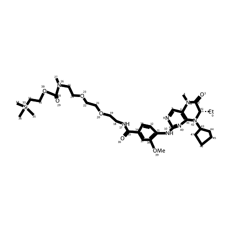 CC[C@H]1C(=O)N(C)c2cnc(Nc3ccc(C(=O)NCCOCCOCCN(C)C(=O)OCC[Si](C)(C)C)cc3OC)nc2N1C1CCCC1